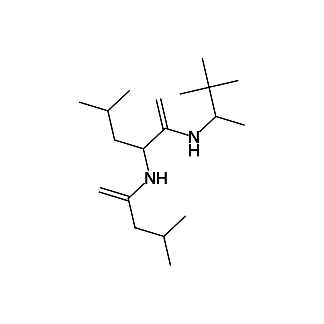 C=C(CC(C)C)NC(CC(C)C)C(=C)NC(C)C(C)(C)C